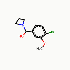 COc1cc(C(O)N2CCC2)ccc1Br